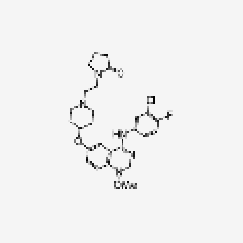 CON1CN=C(Nc2ccc(F)c(Cl)c2)c2cc(OC3CCN(CCN4CCCC4=O)CC3)ccc21